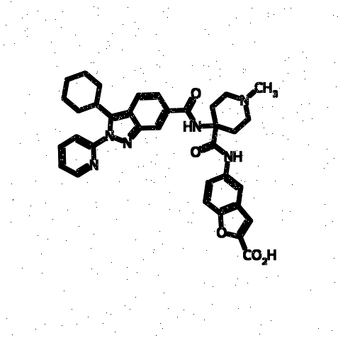 CN1CCC(NC(=O)c2ccc3c(C4CCCCC4)n(-c4ccccn4)nc3c2)(C(=O)Nc2ccc3oc(C(=O)O)cc3c2)CC1